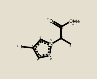 COC(=O)C(C)n1cc(I)cn1